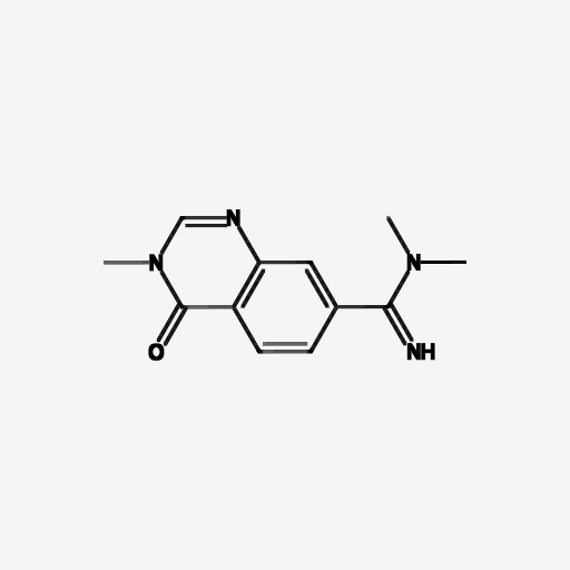 CN(C)C(=N)c1ccc2c(=O)n(C)cnc2c1